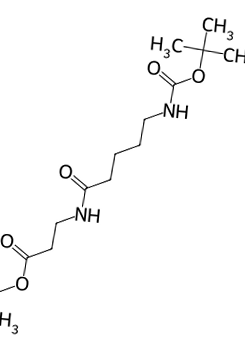 CCOC(=O)CCNC(=O)CCCCNC(=O)OC(C)(C)C